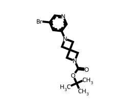 CC(C)(C)OC(=O)N1CC2(C1)CN(c1cncc(Br)c1)C2